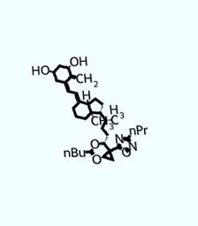 C=C1/C(=C\C=C2/CCC[C@]3(C)[C@@H]([C@H](C)CC[C@@H](OC(=O)CCCC)C4(c5nc(CCC)no5)CC4)CC[C@@H]23)C[C@@H](O)C[C@@H]1O